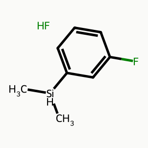 C[SiH](C)c1cccc(F)c1.F